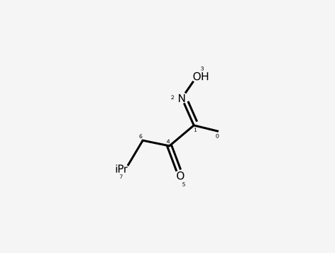 CC(=NO)C(=O)CC(C)C